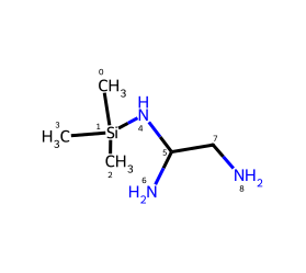 C[Si](C)(C)NC(N)CN